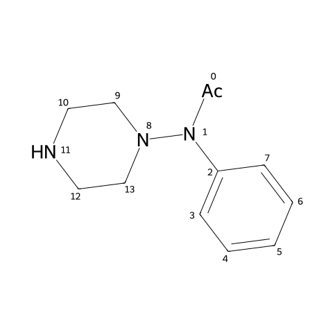 CC(=O)N(c1ccccc1)N1CCNCC1